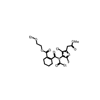 CCOCCOC(=O)C1=C(C(=O)N(C(=O)CC)c2c(F)sc(CC(=O)OC)c2Cl)CCCC1